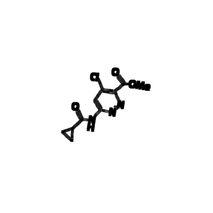 COC(=O)c1nnc(NC(=O)C2CC2)cc1Cl